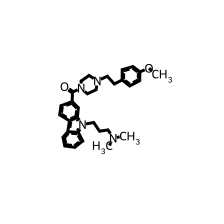 COc1ccc(CCN2CCN(C(=O)c3ccc4c5ccccc5n(CCCN(C)C)c4c3)CC2)cc1